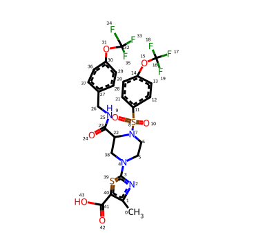 Cc1nc(N2CCN(S(=O)(=O)c3ccc(OC(F)(F)F)cc3)C(C(=O)NCc3ccc(OC(F)(F)F)cc3)C2)sc1C(=O)O